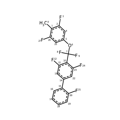 Cc1c(F)cc(OC(F)(F)c2c(F)cc(-c3ccccc3F)cc2F)cc1F